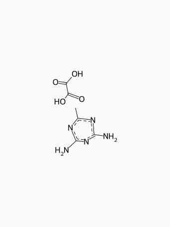 Cc1nc(N)nc(N)n1.O=C(O)C(=O)O